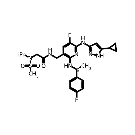 CC(C)N(CC(=O)NCc1cc(F)c(Nc2cc(C3CC3)[nH]n2)nc1N[C@@H](C)c1ccc(F)cc1)S(C)(=O)=O